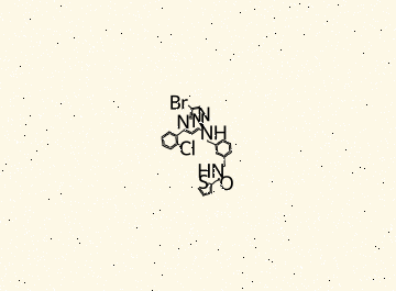 O=C(NCc1cccc(CNc2cc(-c3ccccc3Cl)nc3c(Br)cnn23)c1)c1cccs1